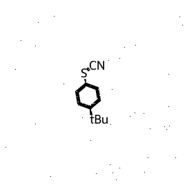 CC(C)(C)[C@H]1CC[C@H](SC#N)CC1